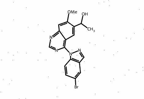 COc1cc2ncnc(-n3ncc4cc(Br)ccc43)c2cc1C(C)O